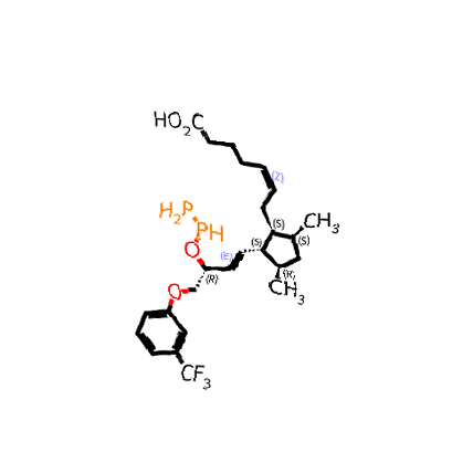 C[C@@H]1C[C@H](C)[C@H](C/C=C\CCCC(=O)O)[C@H]1/C=C/[C@H](COc1cccc(C(F)(F)F)c1)OPP